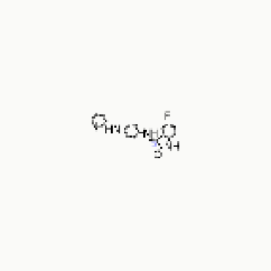 O=C1Nc2ccc(F)cc2/C1=C\Nc1ccc(NCc2cccnc2)cc1